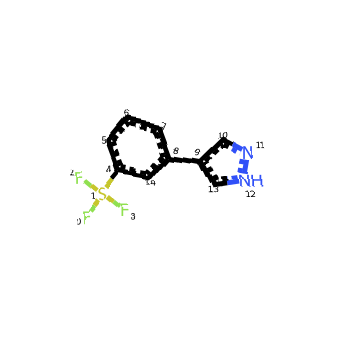 FS(F)(F)c1cccc(-c2cn[nH]c2)c1